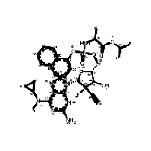 C#C[C@@]1(F)[C@H](O)[C@@H](CO[P@@](=O)(N[C@@H](C)C(=O)OC(C)C)Oc2cccc3ccccc23)O[C@H]1n1cnc2c(N(C)C3CC3)nc(N)nc21